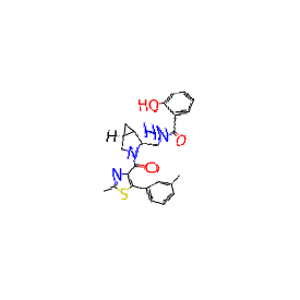 Cc1cccc(-c2sc(C)nc2C(=O)N2C[C@H]3CC3[C@H]2CNC(=O)c2ccccc2O)c1